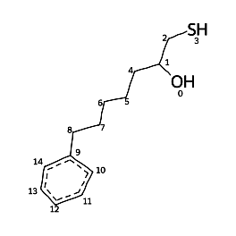 OC(CS)CCCCCc1ccccc1